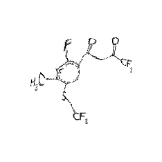 Cc1cc(F)c(C(=O)CC(=O)C(F)(F)F)cc1SCC(F)(F)F